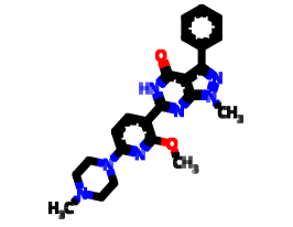 COc1nc(N2CCN(C)CC2)ccc1-c1nc2c(c(-c3ccccc3)nn2C)c(=O)[nH]1